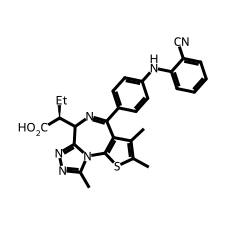 CC[C@H](C(=O)O)C1N=C(c2ccc(Nc3ccccc3C#N)cc2)c2c(sc(C)c2C)-n2c(C)nnc21